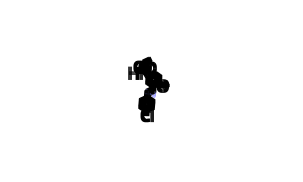 CCS(=O)(=O)Nc1ccc(OC)c(/C=C/c2ccc(Cl)cc2)c1